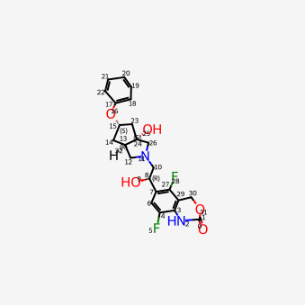 O=C1Nc2c(F)cc([C@@H](O)CN3C[C@H]4C[C@H](Oc5ccccc5)C[C@@]4(O)C3)c(F)c2CO1